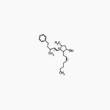 CCCC/C=C\CC1C(O)CC(C)[C@@H]1/C=C/C(C)CCc1ccccc1